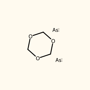 C1OCOCO1.[As].[As]